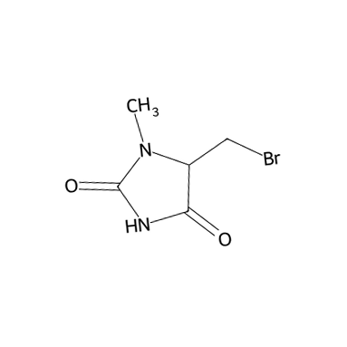 CN1C(=O)NC(=O)C1CBr